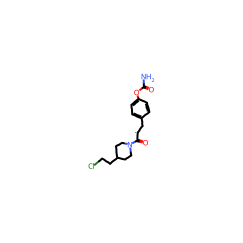 NC(=O)Oc1ccc(C[CH]C(=O)N2CCC(CCCl)CC2)cc1